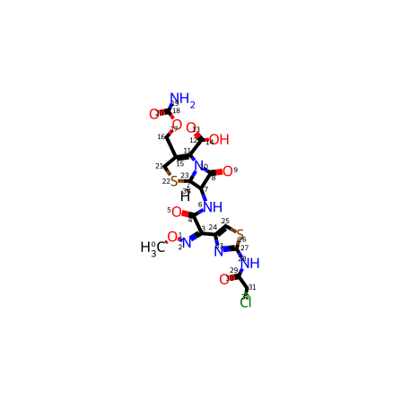 CO/N=C(\C(=O)NC1C(=O)N2C(C(=O)O)=C(COC(N)=O)CS[C@H]12)c1csc(NC(=O)CCl)n1